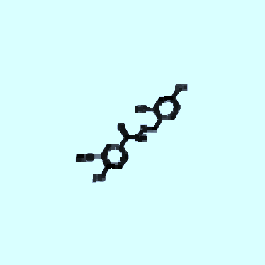 COc1cc(C(=O)NN=Cc2ccc(O)cc2O)ccc1O